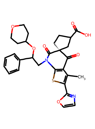 Cc1c(-c2ncco2)sc2c1C(=O)[C@@]1(CCC(C(=O)O)C1)C(=O)N2CC(OC1CCOCC1)c1ccccc1